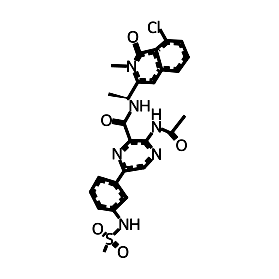 CC(=O)Nc1ncc(-c2cccc(NS(C)(=O)=O)c2)nc1C(=O)N[C@@H](C)c1cc2cccc(Cl)c2c(=O)n1C